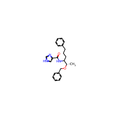 C[C@H](OCc1ccccc1)C(CCCc1ccccc1)NC(=O)c1c[nH]cn1